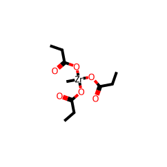 CCC(=O)[O][Zr]([CH3])([O]C(=O)CC)[O]C(=O)CC